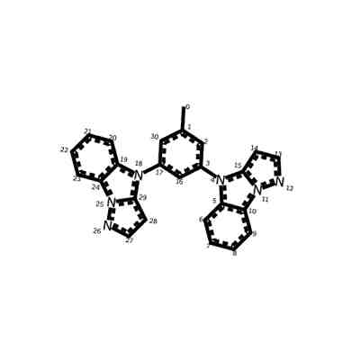 Cc1cc(-n2c3ccccc3n3nccc23)cc(-n2c3ccccc3n3nccc23)c1